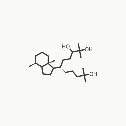 C[C@H]1CCC[C@]2(C)C([C@@H](CCCC(C)(C)O)CCC(O)C(C)(C)O)CCC12